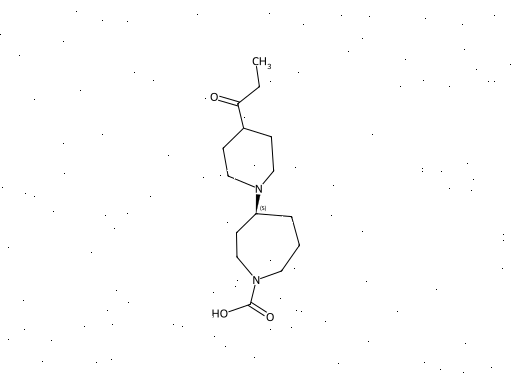 CCC(=O)C1CCN([C@H]2CCCN(C(=O)O)CC2)CC1